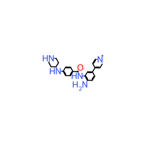 C=N/C=C\C(=C/C)c1ccc(N)c(NC(=O)c2ccc(NC3CCNCC3)cc2)c1